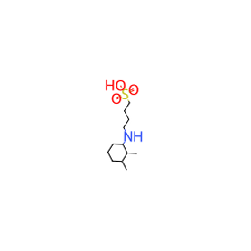 CC1CCCC(NCCCCS(=O)(=O)O)C1C